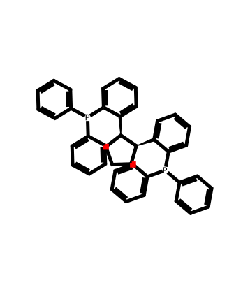 c1ccc(P(c2ccccc2)c2ccccc2[C@H]2CCC[C@H]2c2ccccc2P(c2ccccc2)c2ccccc2)cc1